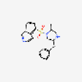 CC1CNC(Cc2ccccc2)CN1S(=O)(=O)c1cccc2cnccc12